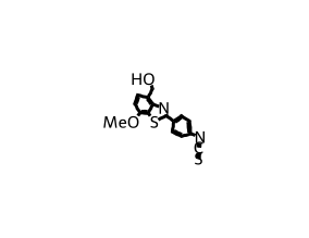 COc1ccc(CO)c2nc(-c3ccc(N=C=S)cc3)sc12